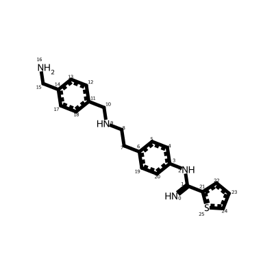 N=C(Nc1ccc(CCNCc2ccc(CN)cc2)cc1)c1cccs1